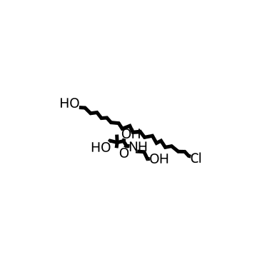 CC(C)(CO)C(O)C(=O)NCCCO.OCCCCCCCCCCCCCCCCCCCCCCl